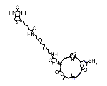 B/C(C)=C/C1Cc2nc(cs2)[C@@H](C)C[C@@H](NCC(=O)NCCOCCOCCNC(=O)CCCC[C@@H]2SCC3NC(=O)NC32)CC(=O)OC(C)C/C(C)=C/C=C\C(=O)O1